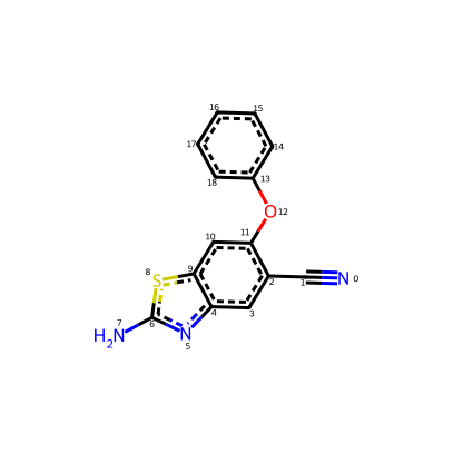 N#Cc1cc2nc(N)sc2cc1Oc1ccccc1